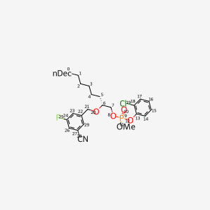 CCCCCCCCCCCCCCC[C@H](COP(=O)(OC)Oc1ccccc1Cl)OCc1cc(F)cc(C#N)c1